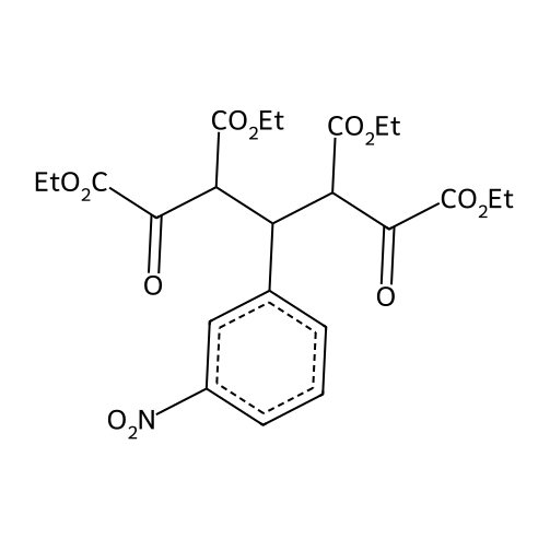 CCOC(=O)C(=O)C(C(=O)OCC)C(c1cccc([N+](=O)[O-])c1)C(C(=O)OCC)C(=O)C(=O)OCC